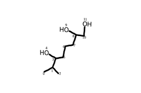 CC(C)C(O)CCCC(O)CO